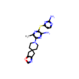 Cc1nc(Sc2ccnc(N)n2)c(N)nc1N1CCC2(CC1)Cc1ncoc1C2